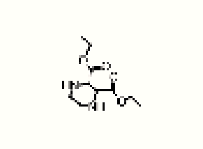 CCOC(=O)C1NCCN[C@@H]1C(=O)OCC